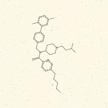 CCCCCc1ccc(C(=O)N(Cc2ccc(-c3cc(C)ccc3C)cc2)C2CCN(CCC(C)C)CC2)nc1